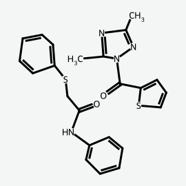 Cc1nc(C)n(C(=O)c2cccs2)n1.O=C(CSc1ccccc1)Nc1ccccc1